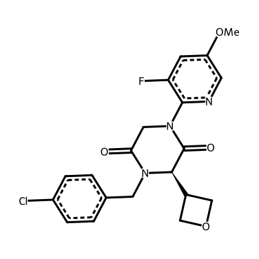 COc1cnc(N2CC(=O)N(Cc3ccc(Cl)cc3)[C@H](C3COC3)C2=O)c(F)c1